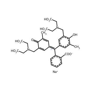 CC1=C/C(=C(\c2cc(C)c(O)c(CN(CC(=O)O)CC(=O)O)c2)c2ccccc2C(=O)[O-])C=C(CN(CC(=O)O)CC(=O)O)C1=O.[Na+]